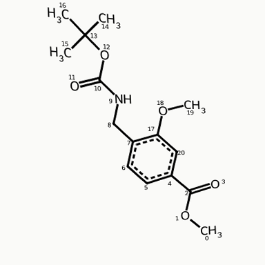 COC(=O)c1ccc(CNC(=O)OC(C)(C)C)c(OC)c1